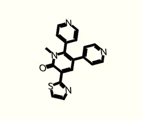 Cn1c(-c2ccncc2)c(-c2ccncc2)cc(-c2nccs2)c1=O